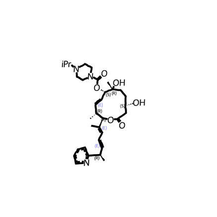 C/C(=C\C=C\[C@@H](C)c1ccccn1)[C@@H]1OC(=O)C[C@@H](O)CC[C@@](C)(O)[C@@H](OC(=O)N2CCN(C(C)C)CC2)/C=C/[C@H]1C